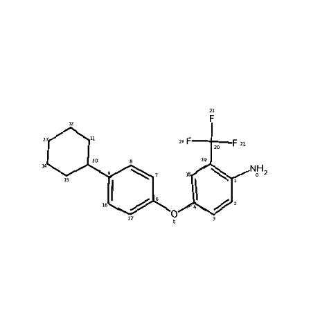 Nc1ccc(Oc2ccc(C3CCCCC3)cc2)cc1C(F)(F)F